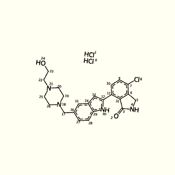 Cl.Cl.O=C1NCc2c(Cl)ccc(-c3cc4cc(CN5CCN(CCO)CC5)ccc4[nH]3)c21